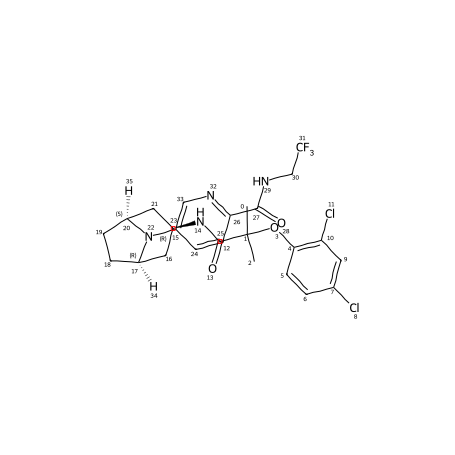 CC(C)(Oc1ccc(Cl)cc1Cl)C(=O)N[C@H]1C[C@H]2CC[C@@H](C1)N2c1ccc(C(=O)NCC(F)(F)F)nc1